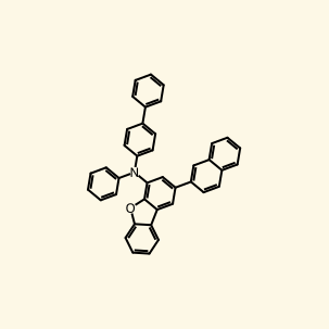 c1ccc(-c2ccc(N(c3ccccc3)c3cc(-c4ccc5ccccc5c4)cc4c3oc3ccccc34)cc2)cc1